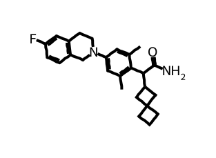 Cc1cc(N2CCc3cc(F)ccc3C2)cc(C)c1C(C(N)=O)C1CC2(CCC2)C1